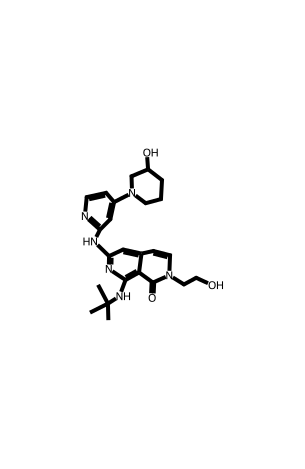 CC(C)(C)Nc1nc(Nc2cc(N3CCCC(O)C3)ccn2)cc2ccn(CCO)c(=O)c12